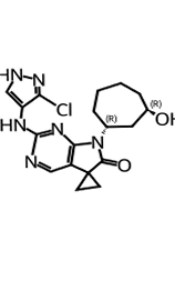 O=C1N([C@@H]2CCCC[C@@H](O)C2)c2nc(Nc3c[nH]nc3Cl)ncc2C12CC2